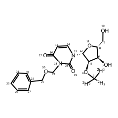 [2H]C([2H])([2H])O[C@@H]1[C@H](O)[C@@H](CO)O[C@H]1n1ccc(=O)n(COCc2ccccc2)c1=O